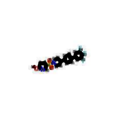 COc1ccc(S(=O)(=O)N2CCC(c3ccc(-c4cc(F)c(F)c(F)c4)cc3)CC2)cn1